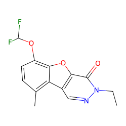 CCn1ncc2c(oc3c(OC(F)F)ccc(C)c32)c1=O